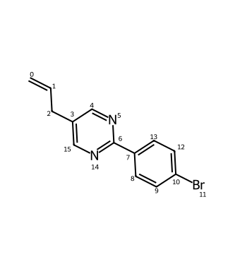 C=CCc1cnc(-c2ccc(Br)cc2)nc1